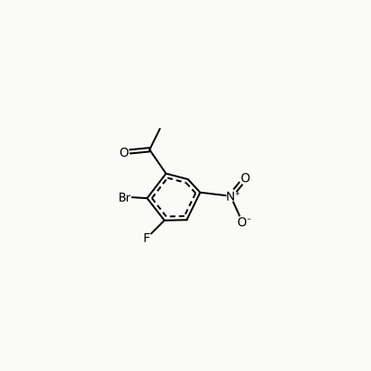 CC(=O)c1cc([N+](=O)[O-])cc(F)c1Br